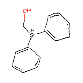 OC[SiH](c1ccccc1)c1ccccc1